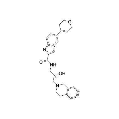 O=C(NC[C@H](O)CN1CCc2cc#ccc2C1)c1cn2cc(C3=CCOCC3)ccc2n1